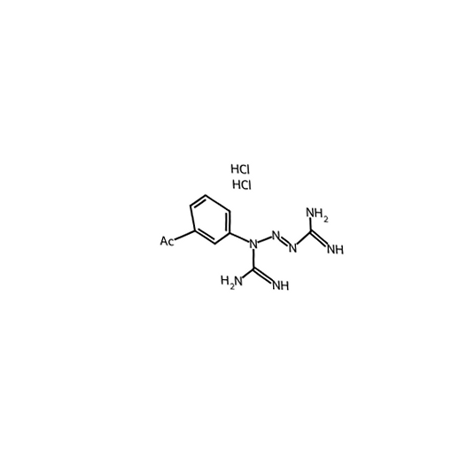 CC(=O)c1cccc(N(N=NC(=N)N)C(=N)N)c1.Cl.Cl